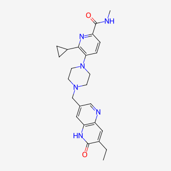 CCc1cc2ncc(CN3CCN(c4ccc(C(=O)NC)nc4C4CC4)CC3)cc2[nH]c1=O